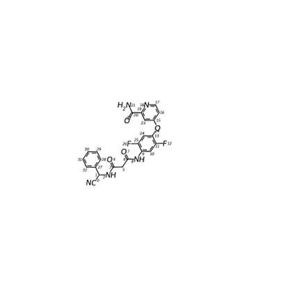 N#CC(NC(=O)CC(=O)Nc1cc(F)c(Oc2ccnc(C(N)=O)c2)cc1F)c1ccccc1